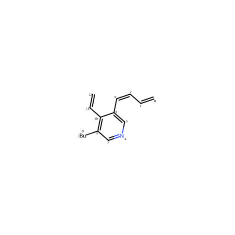 C=C/C=C\c1cncc(C(C)CC)c1C=C